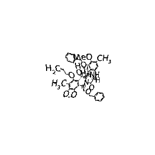 C=CCOc1c(C)c2c(c3c1C(O)[C@@H]1[C@@H]4N[C@H](Cc5cc(C)c(OC)c(OCc6ccccc6)c54)C(=O)N1[C@H]3COCc1ccccc1)OCO2